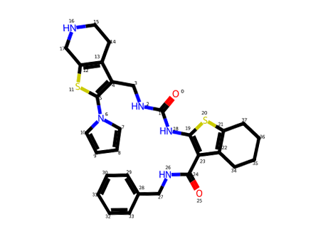 O=C(NCc1c(-n2cccc2)sc2c1CCNC2)Nc1sc2c(c1C(=O)NCc1ccccc1)CCCC2